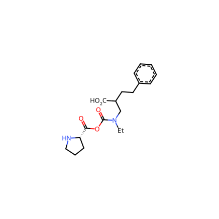 CCN(CC(CCc1ccccc1)C(=O)O)C(=O)OC(=O)[C@@H]1CCCN1